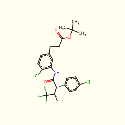 C[C@H]([C@H](C(=O)Nc1cc(CCC(=O)OC(C)(C)C)ccc1Cl)c1ccc(Cl)cc1)C(F)(F)F